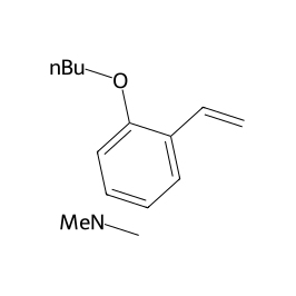 C=Cc1ccccc1OCCCC.CNC